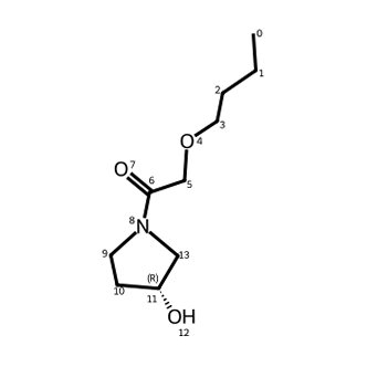 CCCCOCC(=O)N1CC[C@@H](O)C1